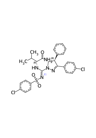 CC(C)[C@@H](N/C(=N\S(=O)(=O)c1ccc(Cl)cc1)N1C[C@@H](c2ccccc2)C(c2ccc(Cl)cc2)=N1)C(N)=O